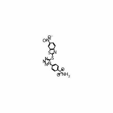 NS(=O)(=O)c1ccc(-n2nnnc2Sc2nc3ccc([N+](=O)[O-])cc3s2)cc1